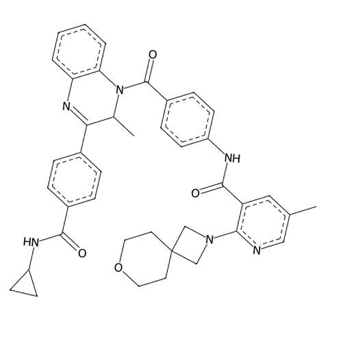 Cc1cnc(N2CC3(CCOCC3)C2)c(C(=O)Nc2ccc(C(=O)N3c4ccccc4N=C(c4ccc(C(=O)NC5CC5)cc4)C3C)cc2)c1